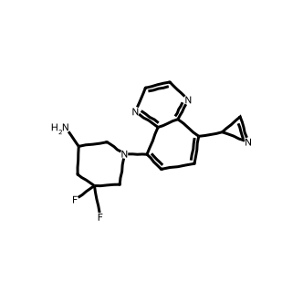 NC1CN(c2ccc(C3C=N3)c3nccnc23)CC(F)(F)C1